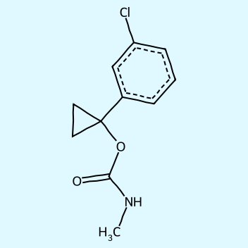 CNC(=O)OC1(c2cccc(Cl)c2)CC1